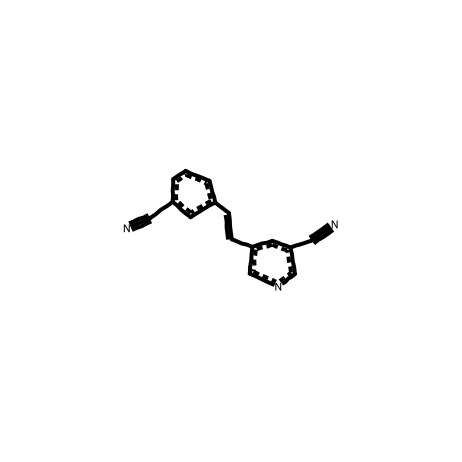 N#Cc1cccc(C=Cc2cncc(C#N)c2)c1